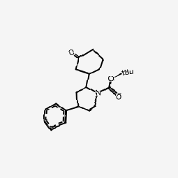 CC(C)(C)OC(=O)N1CCC(c2ccccc2)CC1C1CCCC(=O)C1